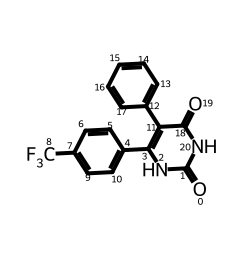 O=c1[nH]c(-c2ccc(C(F)(F)F)cc2)c(-c2ccccc2)c(=O)[nH]1